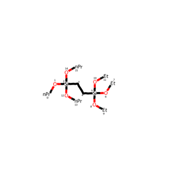 CCCO[Si](CC[Si](OCC)(OCC)OCC)(OCCC)OCCC